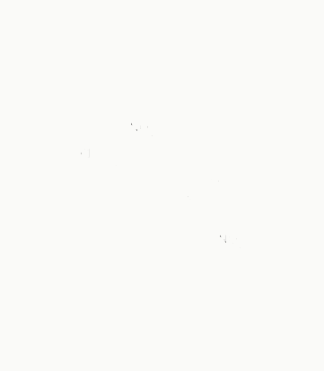 O=C(C[N+](=O)[O-])c1ccc(Cl)c([N+](=O)[O-])c1